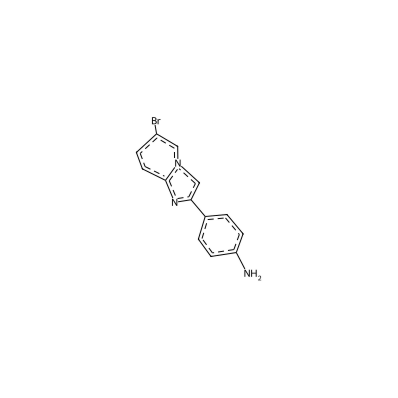 Nc1ccc(-c2cn3cc(Br)ccc3n2)cc1